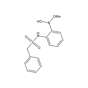 COB(O)c1ccccc1NS(=O)(=O)Cc1ccccc1